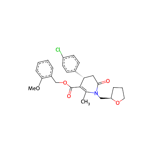 COc1ccccc1COC(=O)C1=C(C)N(C[C@H]2CCCO2)C(=O)C[C@H]1c1ccc(Cl)cc1